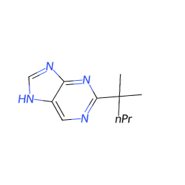 CCCC(C)(C)c1ncc2[nH]cnc2n1